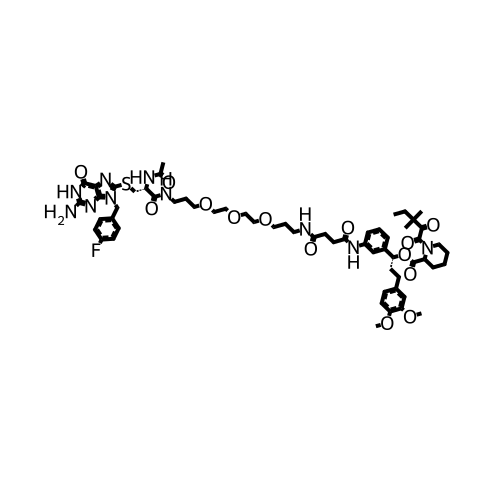 CCC(C)(C)C(=O)C(=O)N1CCCCC1C(=O)O[C@H](CCc1ccc(OC)c(OC)c1)c1cccc(NC(=O)CCC(=O)NCCCOCCOCCOCCCNC(=O)[C@H](CSc2nc3c(=O)[nH]c(N)nc3n2Cc2ccc(F)cc2)NC(C)=O)c1